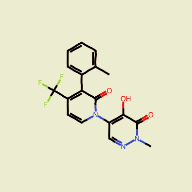 Cc1ccccc1-c1c(C(F)(F)F)ccn(-c2cnn(C)c(=O)c2O)c1=O